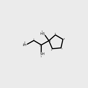 CC(C)CC(S)C1(S)CCCC1